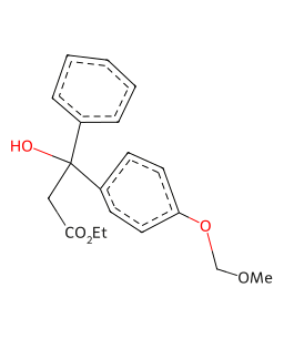 CCOC(=O)CC(O)(c1ccccc1)c1ccc(OCOC)cc1